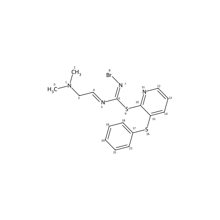 CN(C)CC=NC(=NBr)Sc1ncccc1Sc1ccccc1